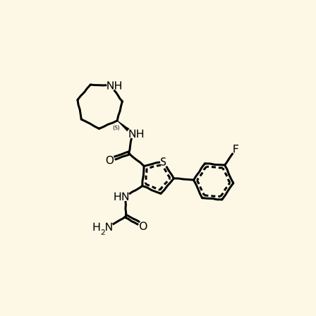 NC(=O)Nc1cc(-c2cccc(F)c2)sc1C(=O)N[C@H]1CCCCNC1